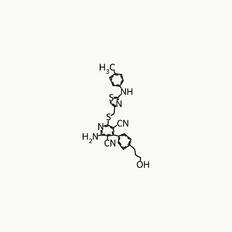 Cc1ccc(Nc2nc(CSc3nc(N)c(C#N)c(-c4ccc(CCCO)cc4)c3C#N)cs2)cc1